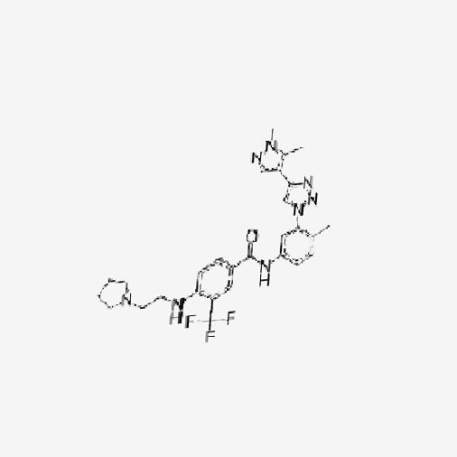 Cc1ccc(NC(=O)c2ccc(NCCN3CCCC3)c(C(F)(F)F)c2)cc1-n1cc(-c2cnn(C)c2C)nn1